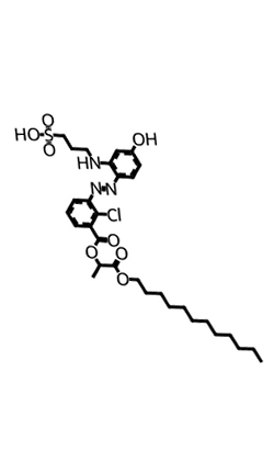 CCCCCCCCCCCCOC(=O)C(C)OC(=O)c1cccc(N=Nc2ccc(O)cc2NCCCS(=O)(=O)O)c1Cl